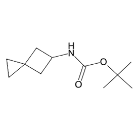 CC(C)(C)OC(=O)NC1CC2(CC2)C1